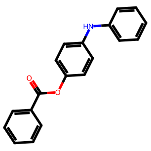 O=C(Oc1ccc(Nc2ccccc2)cc1)c1ccccc1